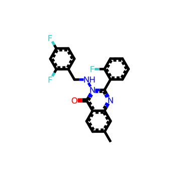 Cc1ccc2c(=O)n(NCc3ccc(F)cc3F)c(-c3ccccc3F)nc2c1